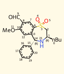 CCCC[C@@H]1CS(=O)(=O)c2cc(C=O)c(OC)cc2[C@@H](c2ccccc2)N1